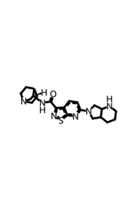 O=C(N[C@@H]1CN2CCC1CC2)c1nsc2nc(N3CC4CCCNC4C3)ccc12